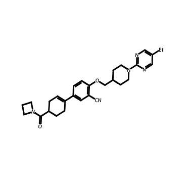 CCc1cnc(N2CCC(COc3ccc(C4=CCC(C(=O)N5CCC5)CC4)cc3C#N)CC2)nc1